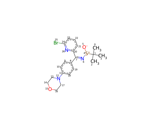 CC(C)(C)[S+]([O-])/N=C(/c1ccc(N2CCOCC2)cc1)c1cccc(Br)n1